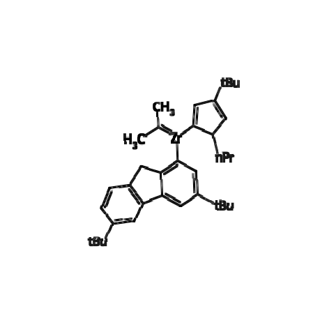 CCCC1C=C(C(C)(C)C)C=[C]1[Zr](=[C](C)C)[c]1cc(C(C)(C)C)cc2c1Cc1ccc(C(C)(C)C)cc1-2